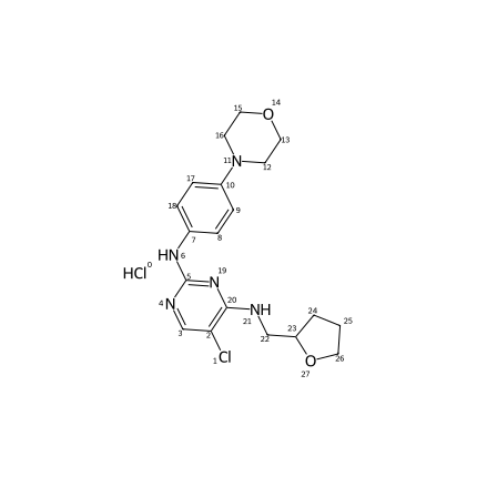 Cl.Clc1cnc(Nc2ccc(N3CCOCC3)cc2)nc1NCC1CCCO1